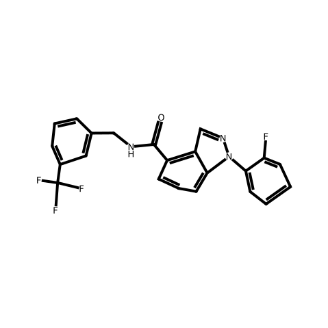 O=C(NCc1cccc(C(F)(F)F)c1)c1cccc2c1cnn2-c1ccccc1F